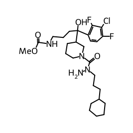 COC(=O)NCCCC(O)(c1ccc(F)c(Cl)c1F)C1CCCN(C(=O)N(N)CCCC2CCCCC2)C1